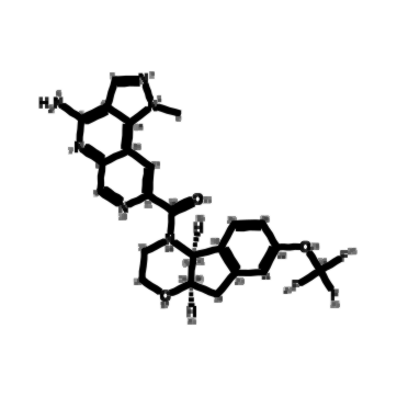 Cn1ncc2c(N)nc3cnc(C(=O)N4CCO[C@@H]5Cc6cc(OC(F)(F)F)ccc6[C@@H]54)cc3c21